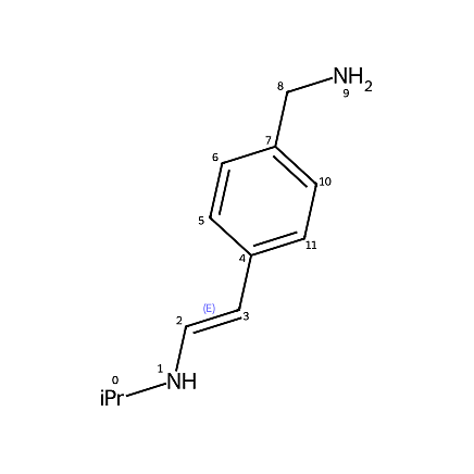 CC(C)N/C=C/c1ccc(CN)cc1